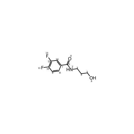 O=C(NCCCO)c1ccc(F)c(F)c1